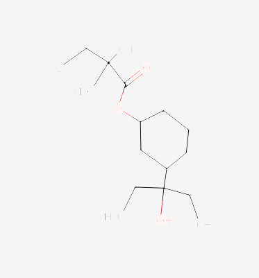 CCC(C)(C)C(=O)OC1CCCC(C(O)(CC)CC)C1